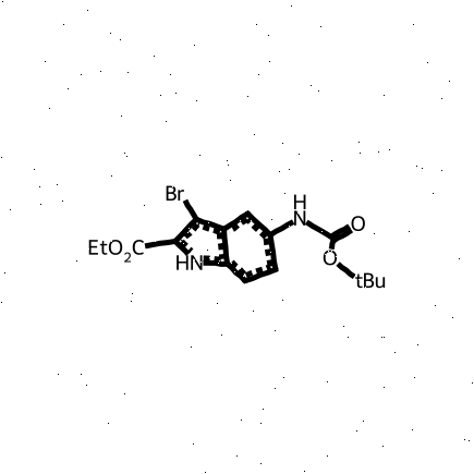 CCOC(=O)c1[nH]c2ccc(NC(=O)OC(C)(C)C)cc2c1Br